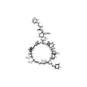 CO[C@@H]1C[C@H](C[C@@H](C)[C@@H]2CC(=O)[C@H](C)/C=C3\CO[C@@H](C(=O)[C@H](C)C[C@H](C)/C=C/C=C/C=C(\C)C(OCCc4ccccc4)C[C@@H]4CC[C@@H](C)[C@@](O)(O4)C(=O)C(=O)N4CCCC[C@H]4C(=O)O2)[C@@H]3O)CC[C@H]1OC(=O)NCCN1CCOCC1